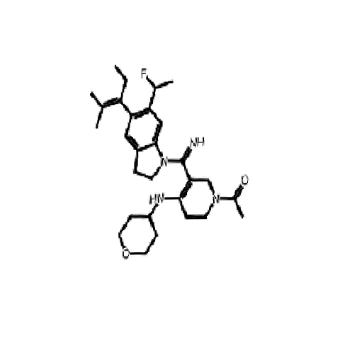 CCC(=C(C)C)c1cc2c(cc1C(C)F)N(C(=N)C1=C(NC3CCOCC3)CCN(C(C)=O)C1)CC2